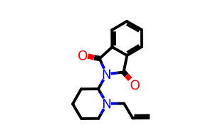 C=CCN1CCCCC1N1C(=O)c2ccccc2C1=O